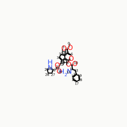 COC(=O)C1=CO[C@@H](OC(=O)[C@@H](N)Cc2ccccc2)[C@@H]2C(COC(=O)[C@@H]3CCCN3)=CC[C@H]12